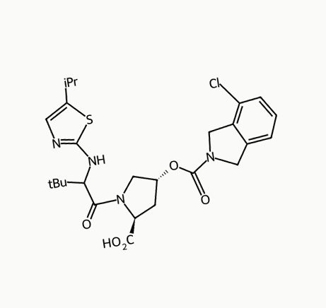 CC(C)c1cnc(NC(C(=O)N2C[C@H](OC(=O)N3Cc4cccc(Cl)c4C3)C[C@H]2C(=O)O)C(C)(C)C)s1